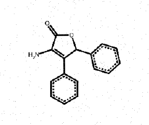 NC1=C(c2ccccc2)C(c2ccccc2)OC1=O